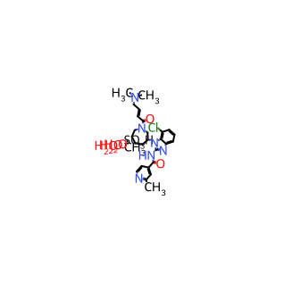 CS(=O)(=O)O.Cc1cc(C(=O)Nc2nc3cccc(Cl)c3n2[C@@H]2CCCCN(C(=O)/C=C/CN(C)C)C2)ccn1.O.O.O